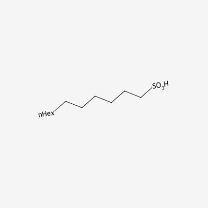 C[CH]CCCCCCCCCCS(=O)(=O)O